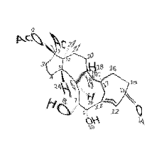 CC(=O)O[C@]1(C(C)=O)CC[C@H]2[C@@H]3[C@@H](O)[C@@H](O)C4=CC(=O)CC[C@]4(C)[C@H]3CC[C@@]21C